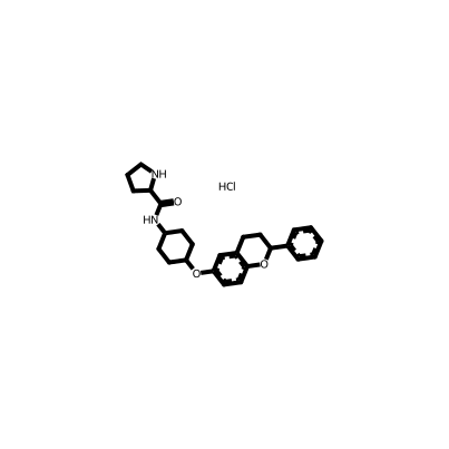 Cl.O=C(NC1CCC(Oc2ccc3c(c2)CCC(c2ccccc2)O3)CC1)C1CCCN1